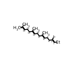 CC/C=C(\I)CC/C=C(\C)CC/C=C(\C)CCC=C(C)C